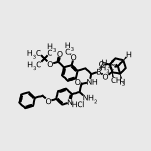 COc1c(CC(NC(=O)C(N)c2ccc(OCc3ccccc3)cn2)B2OC3C[C@@H]4C[C@@H](C4(C)C)[C@]3(C)O2)cccc1C(=O)OC(C)(C)C.Cl